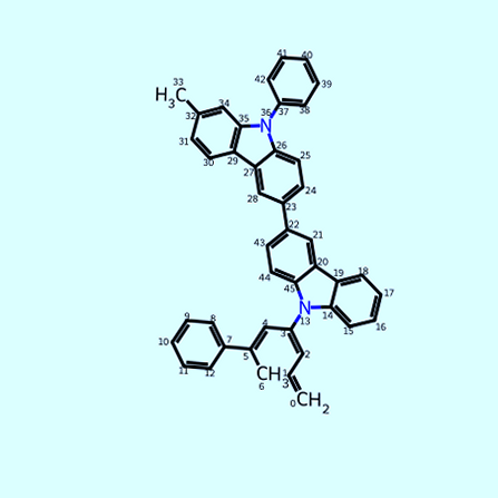 C=C/C=C(\C=C(/C)c1ccccc1)n1c2ccccc2c2cc(-c3ccc4c(c3)c3ccc(C)cc3n4-c3ccccc3)ccc21